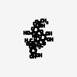 CO[C@@H]1C(C(=O)N[C@](C)(Cc2ccc(O)c(O)c2)C(=O)O)O[C@@H](OC2C(NC(C)=O)[C@H](C)OC(CO)[C@H]2O)C(O)C1O